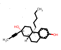 CC#C[C@@]1(O)CC[C@@]2(CCCCC)c3ccc(O)cc3CC[C@@H]2C1